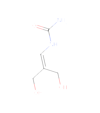 NC(=O)NC=C(CO)CO